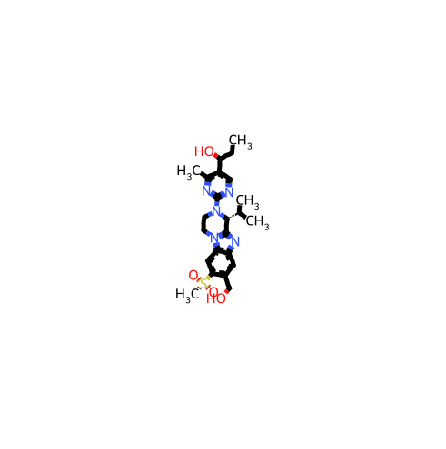 CCC(O)c1cnc(N2CCn3c(nc4cc(CO)c(S(C)(=O)=O)cc43)[C@H]2C(C)C)nc1C